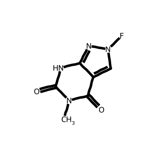 Cn1c(=O)[nH]c2nn(F)cc2c1=O